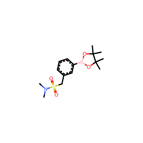 CN(C)S(=O)(=O)Cc1cccc(B2OC(C)(C)C(C)(C)O2)c1